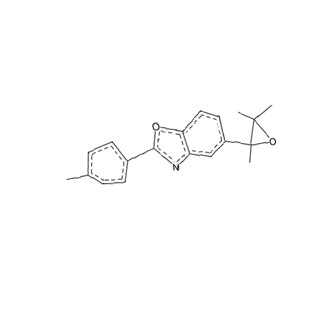 Cc1ccc(-c2nc3cc(C4(C)OC4(C)C)ccc3o2)cc1